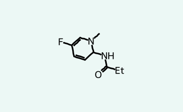 CCC(=O)NC1C=CC(F)=CN1C